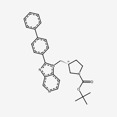 CC(C)(C)OC(=O)N1CC[C@@H](Cn2c(-c3ccc(-c4ccccc4)cc3)nc3cnccc32)C1